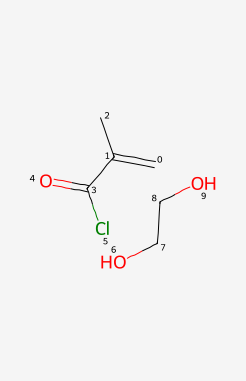 C=C(C)C(=O)Cl.OCCO